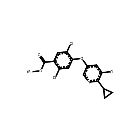 CC(C)(C)OC(=O)c1cc(Cl)c(Oc2cnc(C3CC3)c(Cl)c2)cc1Cl